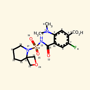 CN(C)c1cc(C(=O)O)c(F)cc1C(=O)NS(=O)(=O)N1CCCCC12COC2